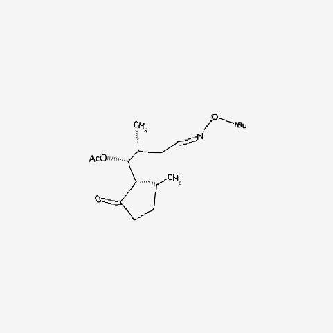 CC(=O)O[C@H]([C@H](C)C/C=N/OC(C)(C)C)[C@H]1C(=O)CCC1C